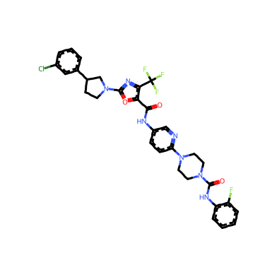 O=C(Nc1ccc(N2CCN(C(=O)Nc3ccccc3F)CC2)nc1)c1oc(N2CCC(c3cccc(Cl)c3)C2)nc1C(F)(F)F